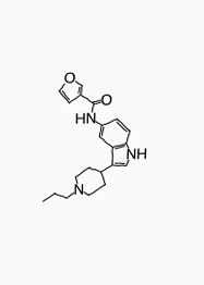 CCCN1CCC(c2c[nH]c3ccc(NC(=O)c4ccoc4)cc23)CC1